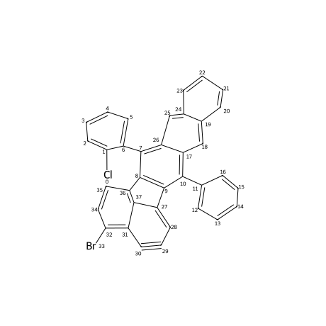 Clc1ccccc1-c1c2c(c(-c3ccccc3)c3cc4ccccc4cc13)-c1cc#cc3c(Br)ccc-2c13